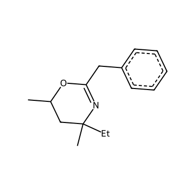 CCC1(C)CC(C)OC(Cc2ccccc2)=N1